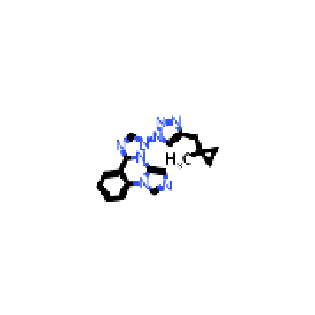 CC1(Cc2cn(N3C=NC4c5ccccc5-n5cncc5N43)nn2)CC1